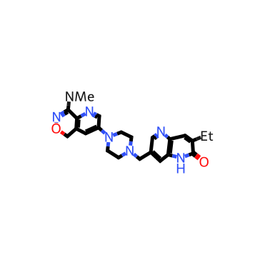 CCc1cc2ncc(CN3CCN(c4cnc5c(c4)CON=C5NC)CC3)cc2[nH]c1=O